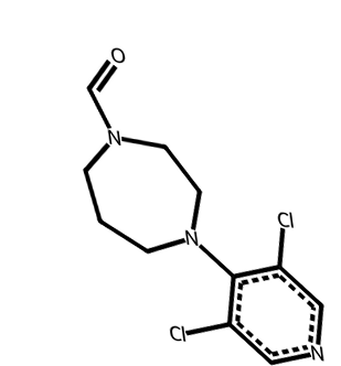 O=CN1CCCN(c2c(Cl)cncc2Cl)CC1